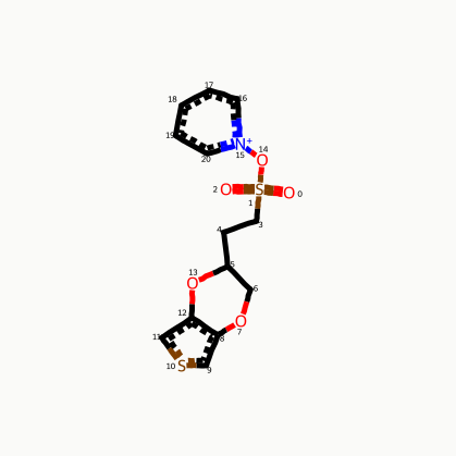 O=S(=O)(CCC1COc2cscc2O1)O[n+]1ccccc1